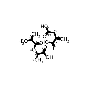 C=C(C)C(=O)OC(C)C(=O)O.C=C(CC(=O)O)C(=O)O